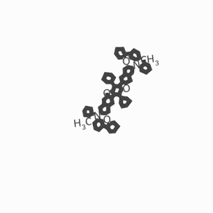 Cc1ccccc1N(c1ccc2cc3c(cc2c1)oc1c(-c2ccccc2)c2c(oc4cc5cc(N(c6ccccc6C)c6cccc7c6oc6ccccc67)ccc5cc42)c(-c2ccccc2)c13)c1cccc2c1oc1ccccc12